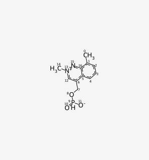 Cc1cccc2c(CO[PH](=O)[O-])c[n+](C)nc12